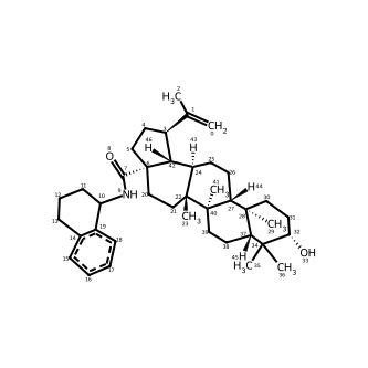 C=C(C)[C@@H]1CC[C@]2(C(=O)NC3CCCc4ccccc43)CC[C@]3(C)[C@H](CC[C@@H]4[C@@]5(C)CC[C@H](O)C(C)(C)[C@@H]5CC[C@]43C)[C@@H]12